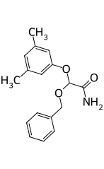 Cc1cc(C)cc(OC(OCc2ccccc2)C(N)=O)c1